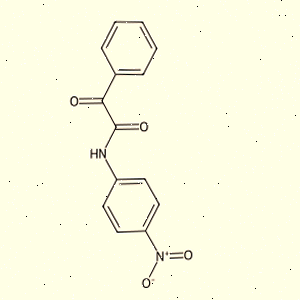 O=C(Nc1ccc([N+](=O)[O-])cc1)C(=O)c1ccccc1